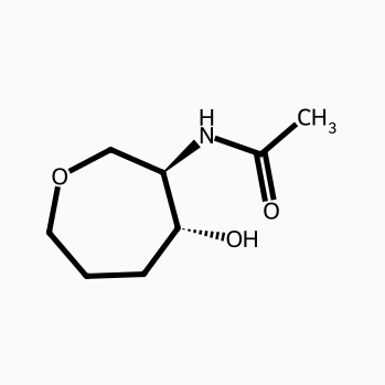 CC(=O)N[C@@H]1COCCC[C@H]1O